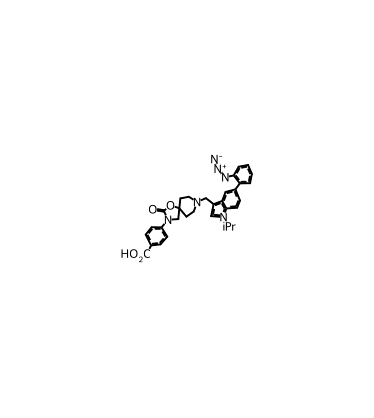 CC(C)n1cc(CN2CCC3(CC2)CN(c2ccc(C(=O)O)cc2)C(=O)O3)c2cc(-c3ccccc3N=[N+]=[N-])ccc21